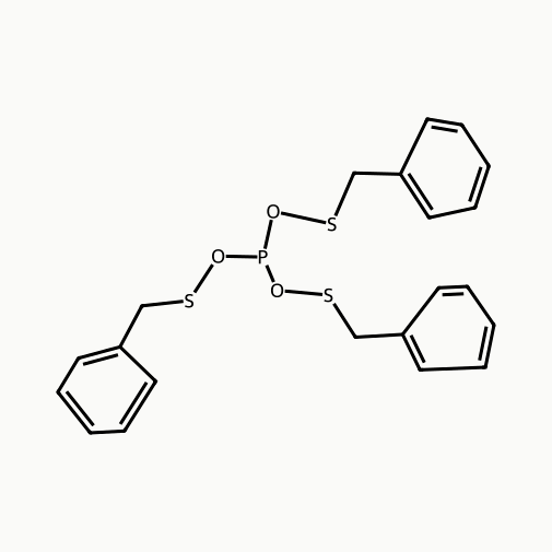 c1ccc(CSOP(OSCc2ccccc2)OSCc2ccccc2)cc1